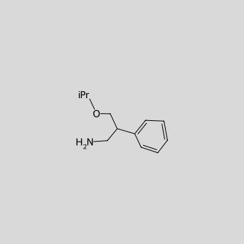 CC(C)OCC(CN)c1ccccc1